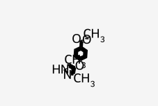 COC(=O)c1ccc(Oc2c(C)n[nH]c2C)cc1